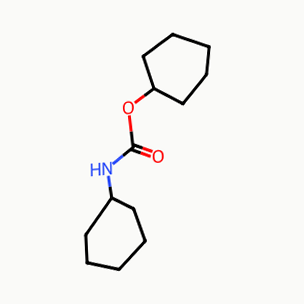 O=C(NC1CCCCC1)OC1CCCCC1